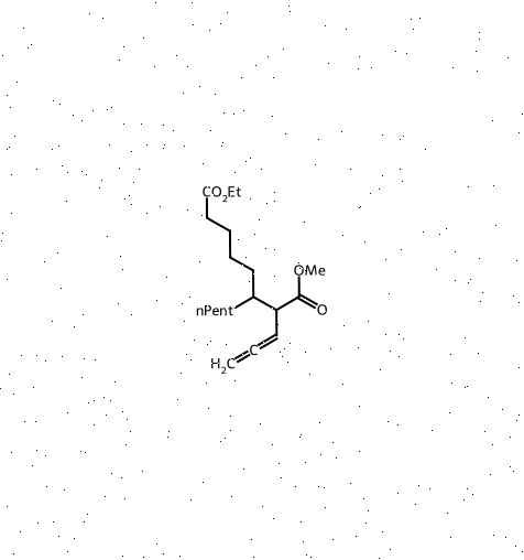 C=C=CC(C(=O)OC)C(CCCCC)CCCCC(=O)OCC